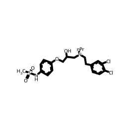 CCCN(CCc1ccc(Cl)c(Cl)c1)CC(O)COc1ccc(NS(C)(=O)=O)cc1